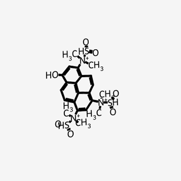 C[N+](C)(c1cc(O)c2ccc3c([N+](C)(C)[SH](=O)=O)cc([N+](C)(C)[SH](=O)=O)c4ccc1c2c34)[SH](=O)=O